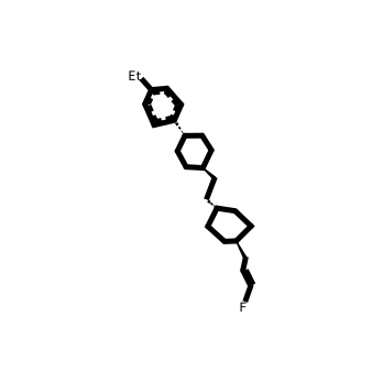 CCc1ccc([C@H]2CC[C@H](CC[C@H]3CC[C@H](CC=CF)CC3)CC2)cc1